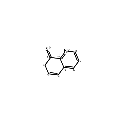 S=C1CC=Cc2cccnc21